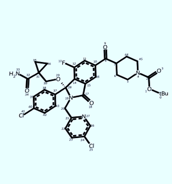 CC(C)(C)OC(=O)N1CCC(C(=O)c2cc(F)c3c(c2)C(=O)N(Cc2ccc(Cl)cn2)[C@@]3(OCC2(C(N)=O)CC2)c2ccc(Cl)cc2)CC1